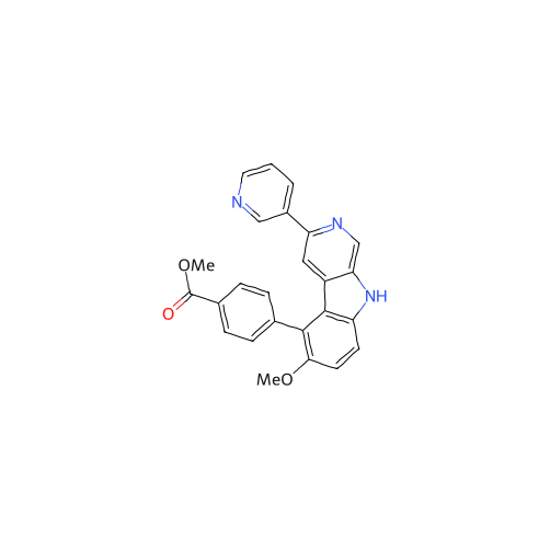 COC(=O)c1ccc(-c2c(OC)ccc3[nH]c4cnc(-c5cccnc5)cc4c23)cc1